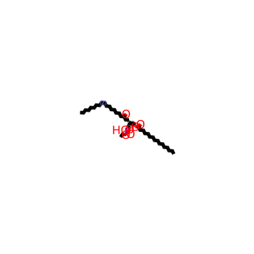 CCCCCCCC/C=C\CCCCCCCC(=O)CC[C@H](COC(=O)CCCCCCCCCCCCCCC)COP(=O)(O)OCC